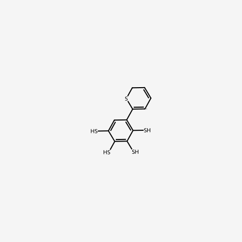 Sc1cc(C2=[C]C=CCS2)c(S)c(S)c1S